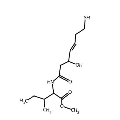 CCC(C)C(NC(=O)CC(O)/C=C/CCS)C(=O)OC